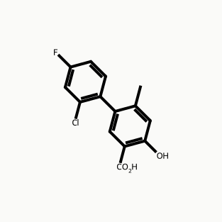 Cc1cc(O)c(C(=O)O)cc1-c1ccc(F)cc1Cl